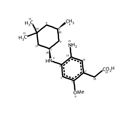 COc1cc(N[C@@H]2C[C@H](C)CC(C)(C)C2)c(N)cc1CC(=O)O